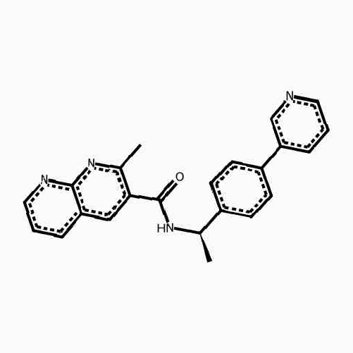 Cc1nc2ncccc2cc1C(=O)N[C@H](C)c1ccc(-c2cccnc2)cc1